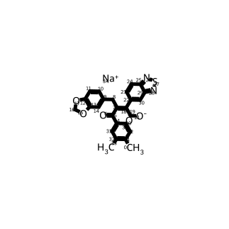 Cc1ccc(C(=O)C(Cc2ccc3c(c2)OCO3)=C(C(=O)[O-])c2ccc3nsnc3c2)cc1C.[Na+]